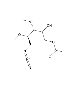 CO[C@H](C(O)COC(C)=O)[C@@H](CN=[N+]=[N-])OC